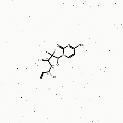 C=C[C@@H](O)[C@H]1OC(n2ccc(N)nc2=O)C(F)(F)[C@@H]1O